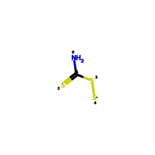 NC(=S)S[S]